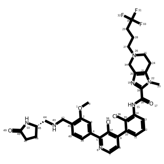 COc1cc(-c2nccc(-c3cccc(NC(=O)c4nc5c(n4C)CCN(CCCC(F)(F)F)C5)c3Cl)c2Cl)ccc1CNC[C@@H]1CCC(=O)N1